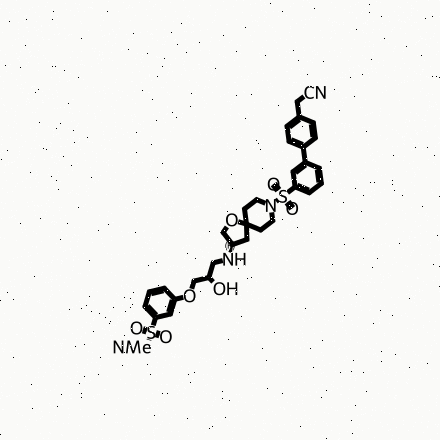 CNS(=O)(=O)c1cccc(OCC(O)CN[C@H]2COC3(CCN(S(=O)(=O)c4cccc(-c5ccc(CC#N)cc5)c4)CC3)C2)c1